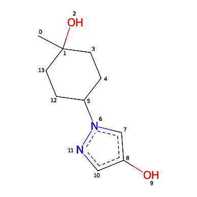 CC1(O)CCC(n2cc(O)cn2)CC1